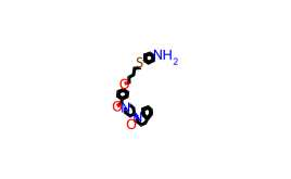 Nc1ccc(SCCCCCOc2ccc(C(=O)N3CCC(N4C(=O)CCc5ccccc54)CC3)cc2)cc1